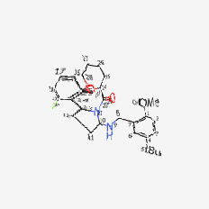 COc1ccc(C(C)(C)C)cc1CNC1CCC(c2ccccc2F)N1C(=O)[C@@H]1CCCCO1